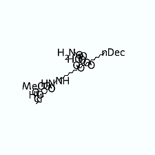 CCCCCCCCCCCCCCCCC(=O)OCC(COP(=O)(O)OCCN)OC(=O)CCCCCCCCNCCNC(=O)OC1CC[C@](O)(CCl)[C@@H]([C@@]2(C)OC2CC=C(C)C)[C@@H]1OC